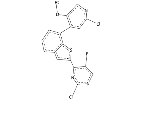 CCOc1cnc(Cl)cc1-c1cccc2cc(-c3nc(Cl)ncc3F)sc12